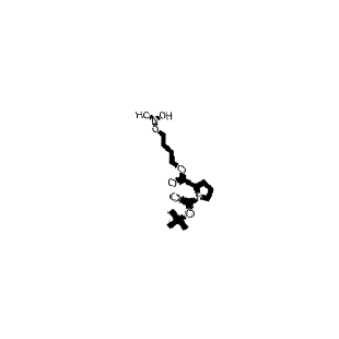 CC(C)(C)OC(=O)N1CCCC1C(=O)OCCCCON(O)O